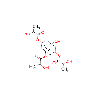 CC(O)C(=O)OC12CC3(O)CC(OC(=O)C(C)O)(C1)CC(OC(=O)C(C)O)(C3)C2